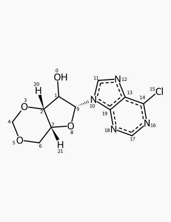 OC1[C@H]2OCOC[C@H]2O[C@H]1n1cnc2c(Cl)ncnc21